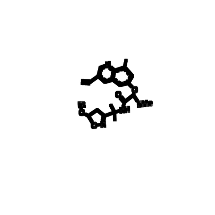 C#Cc1cnc2c(C)cc(OC(SC)C(=O)NC(C)(C)C3=NOC(OCC)C3)cc2c1